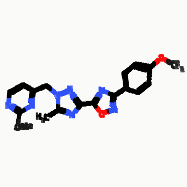 COc1nccc(Cn2nc(-c3nc(-c4ccc(OC(F)(F)F)cc4)no3)nc2C)n1